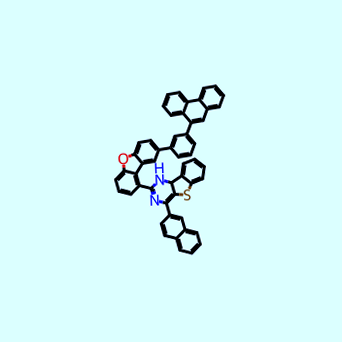 c1cc(-c2ccc3oc4cccc(C5=NC(c6ccc7ccccc7c6)=C6Sc7ccccc7C6N5)c4c3c2)cc(-c2cc3ccccc3c3ccccc23)c1